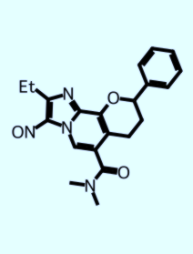 CCc1nc2c3c(c(C(=O)N(C)C)cn2c1N=O)CCC(c1ccccc1)O3